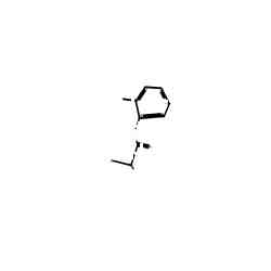 Cc1ccccc1NC(=O)C(C)I